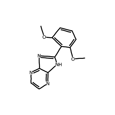 COc1cccc(OC)c1-c1nc2nccnc2[nH]1